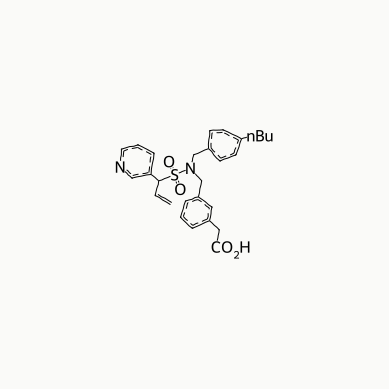 C=CC(c1cccnc1)S(=O)(=O)N(Cc1ccc(CCCC)cc1)Cc1cccc(CC(=O)O)c1